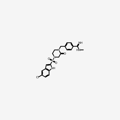 CNC(=N)c1ccc(CN2CCN(S(=O)(=O)c3cc4cc(Cl)ccc4[nH]3)CC2=O)cc1